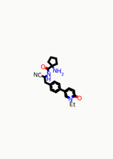 CCn1cc(-c2ccc(CC(C#N)NC(=O)C3(N)CCCC3)cc2)ccc1=O